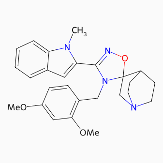 COc1ccc(CN2C(c3cc4ccccc4n3C)=NOC23CN2CCC3CC2)c(OC)c1